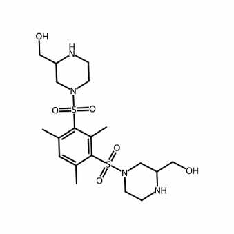 Cc1cc(C)c(S(=O)(=O)N2CCNC(CO)C2)c(C)c1S(=O)(=O)N1CCNC(CO)C1